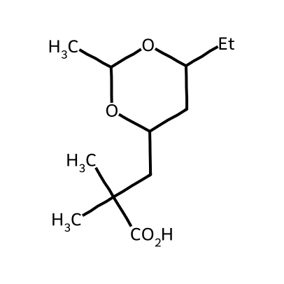 CCC1CC(CC(C)(C)C(=O)O)OC(C)O1